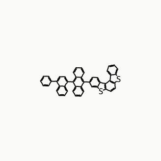 c1ccc(-c2ccc(-c3c4ccccc4c(-c4ccc5c(c4)sc4ccc6sc7ccccc7c6c45)c4ccccc34)c3ccccc23)cc1